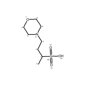 CC(CCN1CCOCC1)S(=O)(=O)O